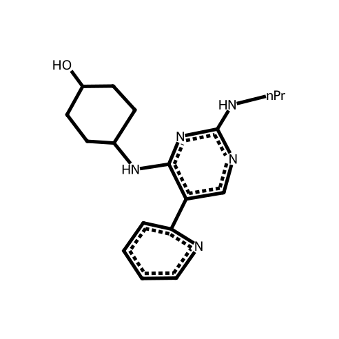 CCCNc1ncc(-c2ccccn2)c(NC2CCC(O)CC2)n1